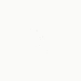 C=CF.CCO[SiH2]CC